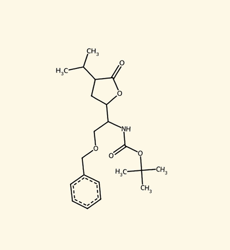 CC(C)C1CC(C(COCc2ccccc2)NC(=O)OC(C)(C)C)OC1=O